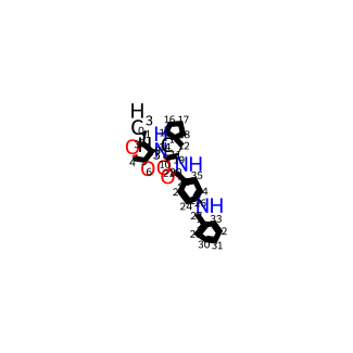 CC[C@@H]1OCC(=O)[C@H]1NC(=O)[C@H](CC1(C)CCCC1)NC(=O)c1ccc(NCc2ccccc2)cc1